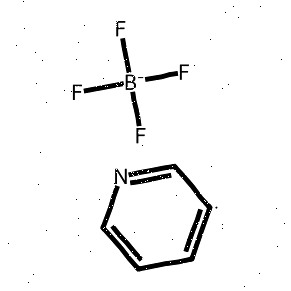 F[B-](F)(F)F.[c]1cccnc1